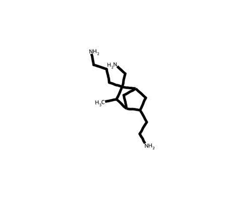 CC1C2CC(CC2CCN)C1(CN)CCCN